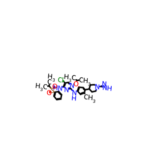 Cc1cc(Nc2ncc(Cl)c(Nc3ccccc3S(=O)(=O)C(C)C)n2)c(OC(C)C)cc1C1CCN(C2=NN2)CC1